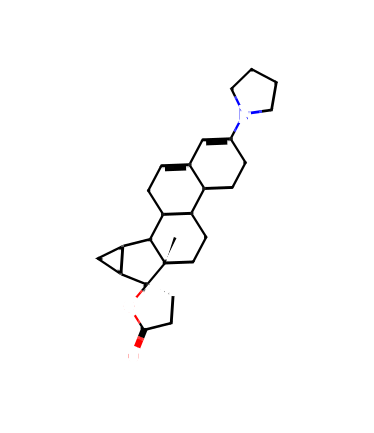 C[C@]12CCC3C4CCC(N5CCCC5)=CC4=CCC3C1C1CC1[C@@]21CCC(=O)O1